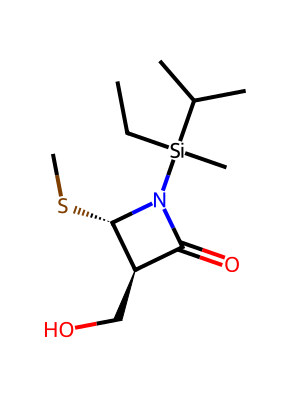 CC[Si](C)(C(C)C)N1C(=O)[C@@H](CO)[C@@H]1SC